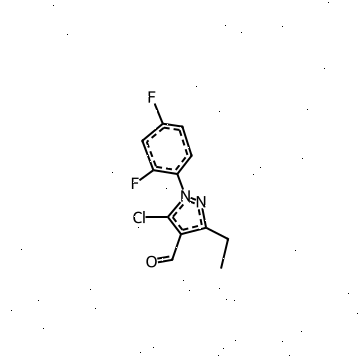 CCc1nn(-c2ccc(F)cc2F)c(Cl)c1C=O